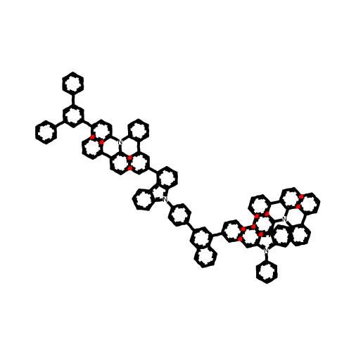 c1ccc(-c2cc(-c3ccccc3)cc(-c3ccc(N(c4ccccc4-c4ccccc4)c4ccccc4-c4cccc(-c5cccc6c5c5ccccc5n6-c5ccc(-c6cc(-c7ccc(-c8ccc(N(c9ccccc9-c9ccccc9)c9ccccc9-c9cccc(-c%10cccc%11c%10c%10ccccc%10n%11-c%10ccccc%10)c9)cc8)cc7)c7ccccc7c6)cc5)c4)cc3)c2)cc1